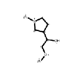 CC(C)OCC(O)C1CCN(C(C)C)C1